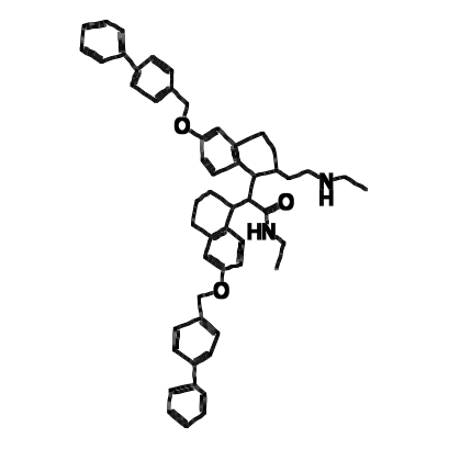 CCNCCC1CCc2cc(OCc3ccc(-c4ccccc4)cc3)ccc2C1C(C(=O)NCC)C1CCCc2cc(OCc3ccc(-c4ccccc4)cc3)ccc21